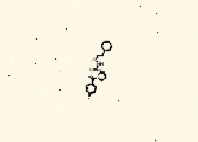 C[C@H](CCC1CCCCC1)NC(=O)[C@@H]1CCCN1C(=O)c1ccc(F)cc1